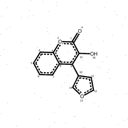 O=c1oc2ccccc2c(-c2ccoc2)c1O